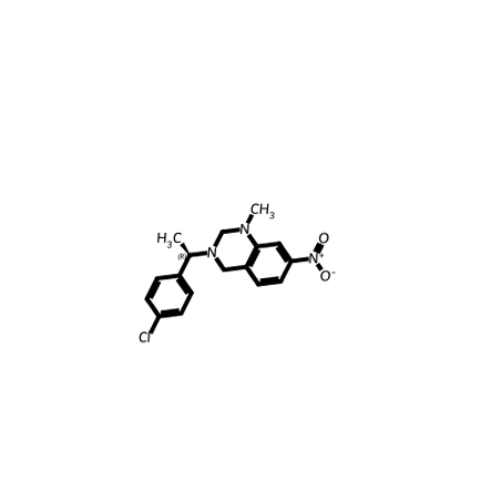 C[C@H](c1ccc(Cl)cc1)N1Cc2ccc([N+](=O)[O-])cc2N(C)C1